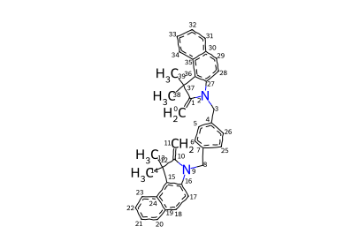 C=C1N(Cc2ccc(CN3C(=C)C(C)(C)c4c3ccc3ccccc43)cc2)c2ccc3ccccc3c2C1(C)C